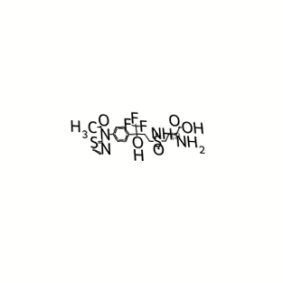 CC(=O)N(c1ccc(C(O)(CCS(=N)(=O)CC[C@H](N)C(=O)O)C(F)(F)F)cc1)c1nccs1